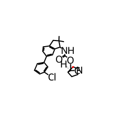 CC1(C)Cc2ccc(-c3cccc(Cl)c3)cc2C1NC(=O)O[C@H]1CN2CCC1CC2